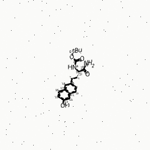 CC(C)(C)OC(=O)N[C@@H](CCc1ccc2cc(O)ccc2c1)C(N)=O